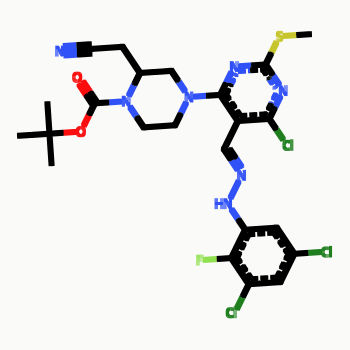 CSc1nc(Cl)c(/C=N/Nc2cc(Cl)cc(Cl)c2F)c(N2CCN(C(=O)OC(C)(C)C)C(CC#N)C2)n1